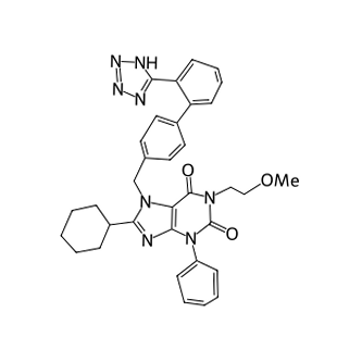 COCCn1c(=O)c2c(nc(C3CCCCC3)n2Cc2ccc(-c3ccccc3-c3nnn[nH]3)cc2)n(-c2ccccc2)c1=O